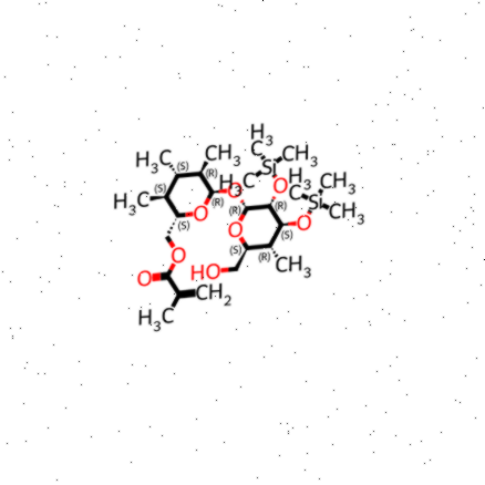 C=C(C)C(=O)OC[C@H]1O[C@H](O[C@H]2O[C@H](CO)[C@@H](C)[C@H](O[Si](C)(C)C)[C@H]2O[Si](C)(C)C)[C@H](C)[C@@H](C)[C@@H]1C